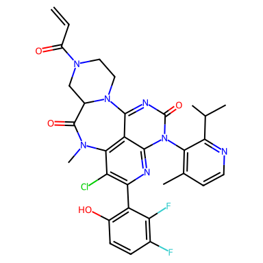 C=CC(=O)N1CCN2c3nc(=O)n(-c4c(C)ccnc4C(C)C)c4nc(-c5c(O)ccc(F)c5F)c(Cl)c(c34)N(C)C(=O)C2C1